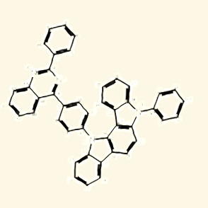 c1ccc(-c2nc(-c3ccc(-n4c5ccccc5c5ccc6c(c7ccccc7n6-c6ccccc6)c54)cc3)c3ccccc3n2)cc1